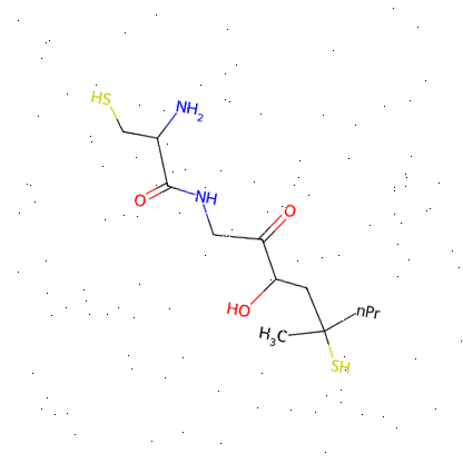 CCCC(C)(S)CC(O)C(=O)CNC(=O)C(N)CS